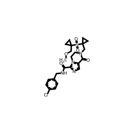 COCC1(S(=O)(=O)C2(CN3CCn4c(cnc4C(=O)NCc4ccc(Cl)cc4)C3=O)CC2)CC1